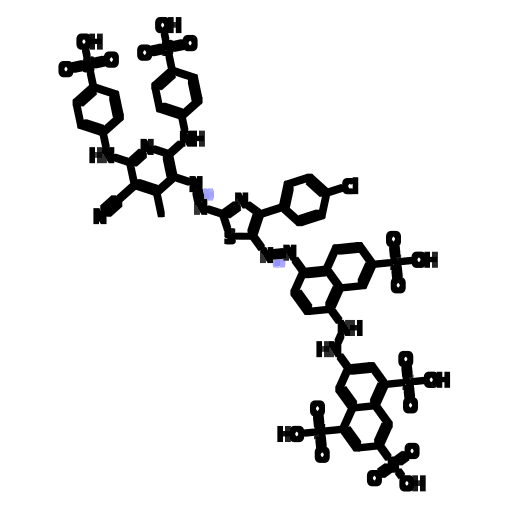 Cc1c(C#N)c(Nc2ccc(S(=O)(=O)O)cc2)nc(Nc2ccc(S(=O)(=O)O)cc2)c1/N=N/c1nc(-c2ccc(Cl)cc2)c(/N=N/c2ccc(NNc3cc(S(=O)(=O)O)c4cc(S(=O)(=O)O)cc(S(=O)(=O)O)c4c3)c3cc(S(=O)(=O)O)ccc23)s1